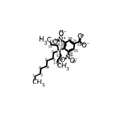 CCCCCCCC[N+](CCC)(CCC)c1c([N+](=O)[O-])cc(C(=O)[O-])cc1[N+](=O)[O-]